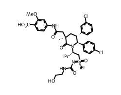 COc1cc(NC(=O)C[C@@]2(C)C[C@H](c3cccc(Cl)c3)[C@@H](c3ccc(Cl)cc3)N([C@H](CS(=O)(=NC(=O)NCCO)C(C)C)C(C)C)C2=O)ccc1C(=O)O